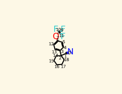 N#CC1(c2ccc(OC(F)(F)F)cc2)CCCCC1